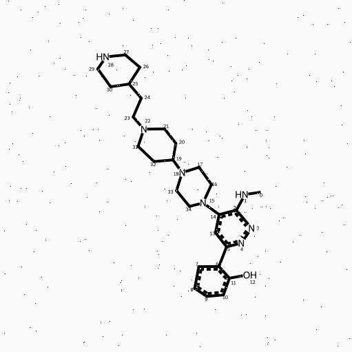 CNc1nnc(-c2ccccc2O)cc1N1CCN(C2CCN(CCC3CCNCC3)CC2)CC1